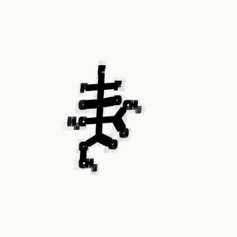 COC(=O)C(C)(C(C)=O)S(=O)(=O)C(F)(F)F